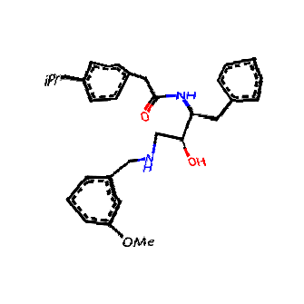 COc1cccc(CNC[C@H](O)[C@H](Cc2ccccc2)NC(=O)Cc2ccc(C(C)C)cc2)c1